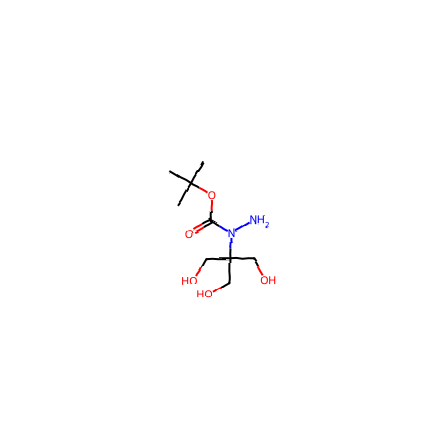 CC(C)(C)OC(=O)N(N)C(CO)(CO)CO